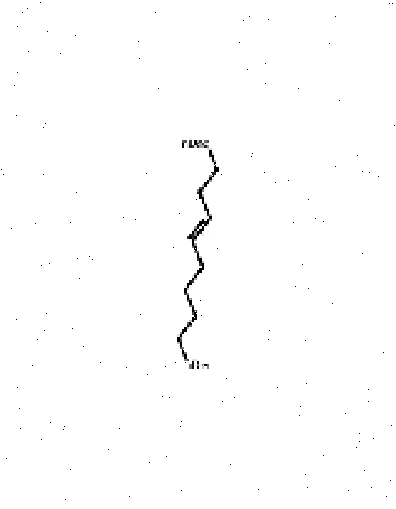 [CH2]CCCCCCCCCCC/C=C/CCCCCCCCCCCCC[CH2]